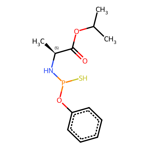 CC(C)OC(=O)[C@H](C)NP(S)Oc1ccccc1